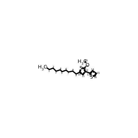 CCCCCCCCCCc1cc(-c2cccs2)c(OC)s1